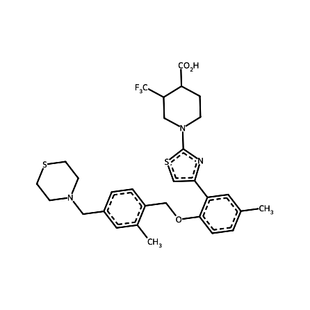 Cc1ccc(OCc2ccc(CN3CCSCC3)cc2C)c(-c2csc(N3CCC(C(=O)O)C(C(F)(F)F)C3)n2)c1